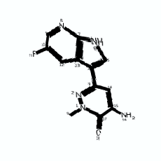 Cn1nc(-c2c[nH]c3ncc(F)cc23)cc(N)c1=O